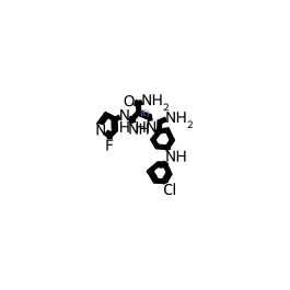 N=C(Nc1ccnc(F)c1)/C(=C\NC1(CN)CCC(Nc2cccc(Cl)c2)CC1)C(N)=O